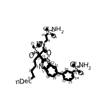 CCCCCCCCCCCCCCC(C(=O)NCCS(N)(=O)=O)(c1nc2ccc(-c3cccc(S(N)(=O)=O)c3)cc2s1)S(C)(=O)=O